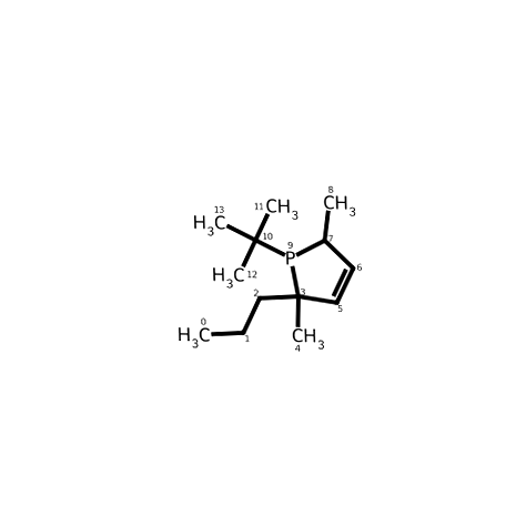 CCCC1(C)C=CC(C)P1C(C)(C)C